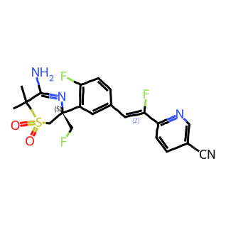 CC1(C)C(N)=N[C@](CF)(c2cc(/C=C(\F)c3ccc(C#N)cn3)ccc2F)CS1(=O)=O